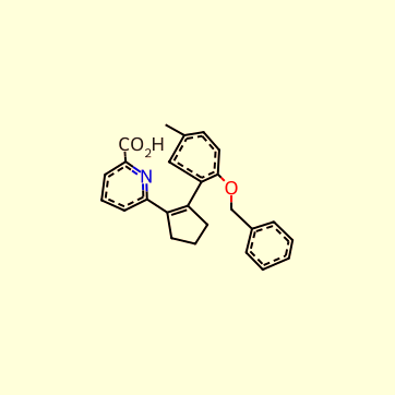 Cc1ccc(OCc2ccccc2)c(C2=C(c3cccc(C(=O)O)n3)CCC2)c1